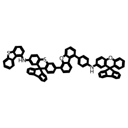 c1ccc2c(c1)Oc1ccc(Nc3ccc(-c4cccc5oc6c(-c7ccc8c(c7)Sc7ccc(Nc9cccc%10sc%11ccccc%11c9%10)cc7C87c8ccccc8-c8ccccc87)cccc6c45)cc3)cc1C21c2ccccc2-c2ccccc21